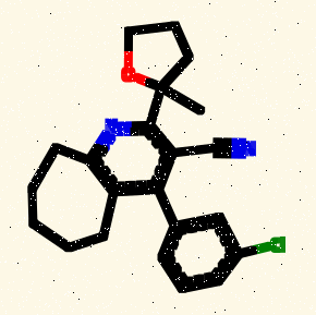 CC1(c2nc3c(c(-c4cccc(Cl)c4)c2C#N)CCCCC3)CCCO1